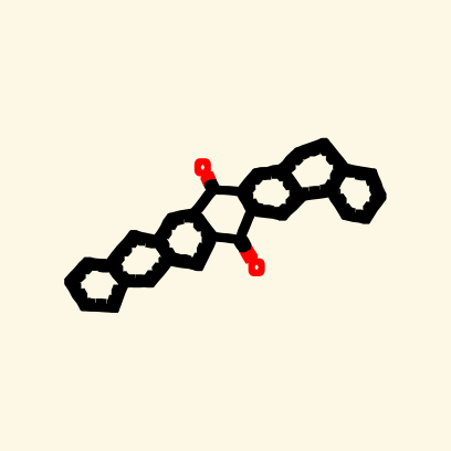 O=C1c2cc3cc4ccccc4cc3cc2C(=O)c2cc3c(ccc4ccccc43)cc21